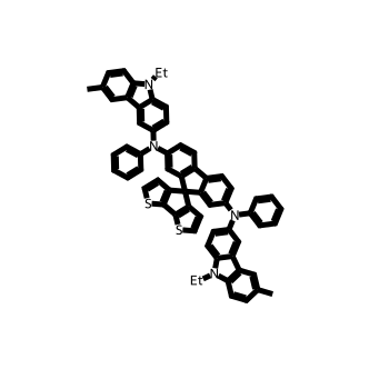 CCn1c2ccc(C)cc2c2cc(N(c3ccccc3)c3ccc4c(c3)C3(c5cc(N(c6ccccc6)c6ccc7c(c6)c6cc(C)ccc6n7CC)ccc5-4)c4ccsc4-c4sccc43)ccc21